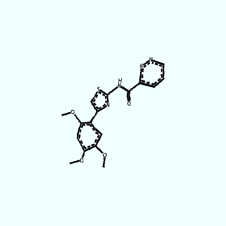 COc1cc(OC)c(-c2csc(NC(=O)c3cccnn3)n2)cc1OC